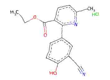 CCOC(=O)c1ccc(C)nc1-c1ccc(O)c(C#N)c1.Cl